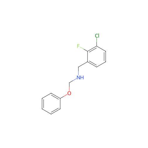 Fc1c(Cl)cccc1CNCOc1ccccc1